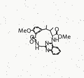 COC(=O)[C@H]1Nc2nc(nc3ccccc23)CNS(=O)(=O)c2cc(ccc2OC)C(C)C1C